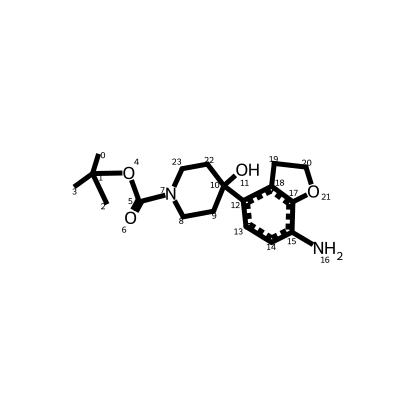 CC(C)(C)OC(=O)N1CCC(O)(c2ccc(N)c3c2CCO3)CC1